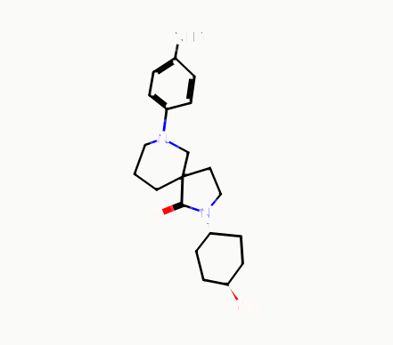 CC(=O)Nc1ccc(N2CCCC3(CCN([C@H]4CC[C@H](O)CC4)C3=O)C2)cc1